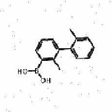 Cc1ccccc1-c1cccc(B(O)O)c1C